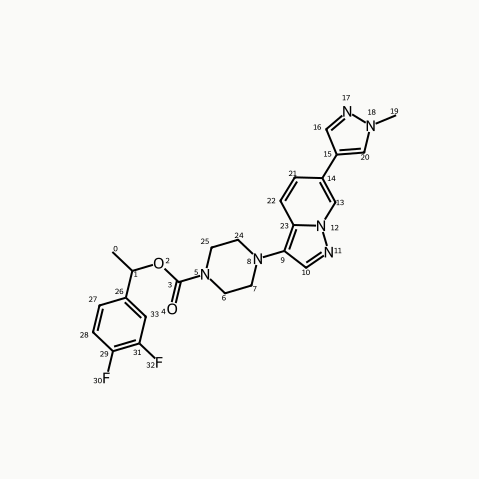 CC(OC(=O)N1CCN(c2cnn3cc(-c4cnn(C)c4)ccc23)CC1)c1ccc(F)c(F)c1